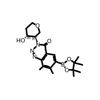 Cc1c(B2OC(C)(C)C(C)(C)O2)cc2c(=O)n([C@@H]3COCC[C@H]3O)nnc2c1C